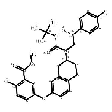 COC(=O)c1cc(Oc2ccc3c(c2)C[C@@H](N(C[C@H](O)c2ccc(Cl)cc2)C(=O)OC(C)(C)C)CC3)ccc1Cl